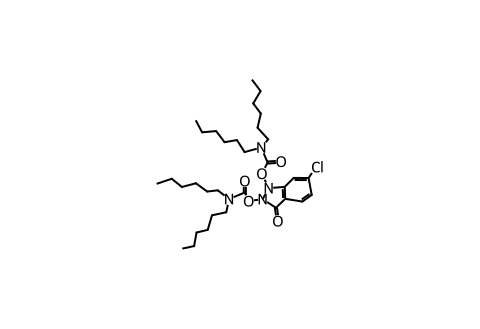 CCCCCCN(CCCCCC)C(=O)On1c(=O)c2ccc(Cl)cc2n1OC(=O)N(CCCCCC)CCCCCC